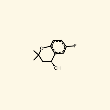 CC1(C)C[C@H](O)c2cc(F)ccc2O1